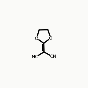 N#CC(C#N)=C1OCCO1